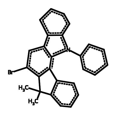 CC1(C)c2ccccc2-c2c1c(Br)cc1c3ccccc3n(-c3ccccc3)c21